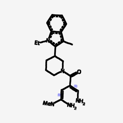 CCn1c(C2CCCN(C(=O)C(/C=C(\N)NC)=C/N)C2)c(C)c2ccccc21